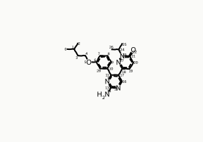 CC(C)CCOc1cccc(-c2nc(N)ncc2-c2ccc(=O)n(C(C)C)n2)c1